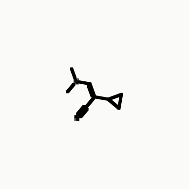 CN(C)/C=C(\C#N)C1CC1